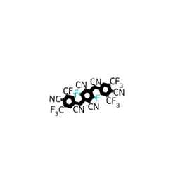 N#C/C(c1cc(C(F)(F)F)c(C#N)c(C(F)(F)F)c1)=c1/c(F)c(C#N)/c(=C(\C#N)c2cc(C(F)(F)F)c(C#N)c(C(F)(F)F)c2)c(F)c1C#N